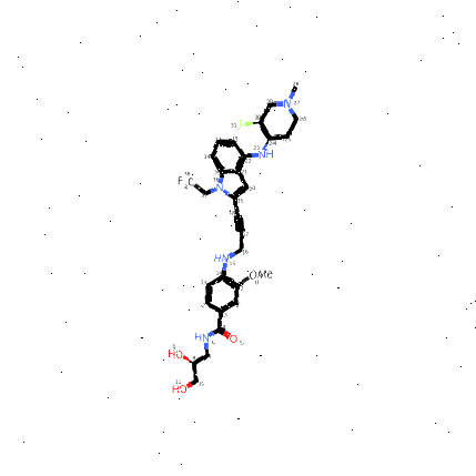 COc1cc(C(=O)NC[C@H](O)CO)ccc1NCC#Cc1cc2c(N[C@@H]3CCN(C)C[C@@H]3F)cccc2n1CC(F)(F)F